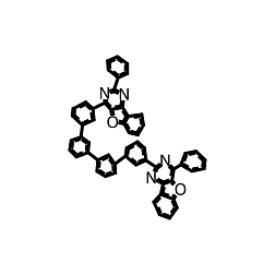 c1ccc(-c2nc(-c3cccc(-c4cccc(-c5cccc(-c6cccc(-c7nc(-c8ccccc8)c8oc9ccccc9c8n7)c6)c5)c4)c3)c3oc4ccccc4c3n2)cc1